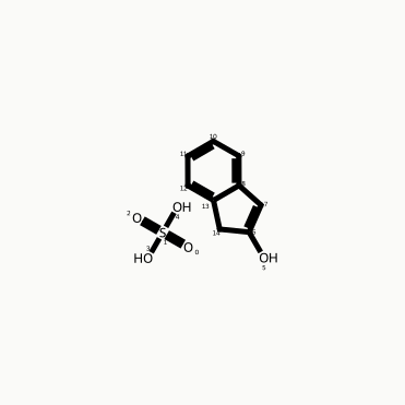 O=S(=O)(O)O.OC1=Cc2ccccc2C1